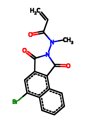 C=CC(=O)N(C)N1C(=O)c2cc(Br)c3ccccc3c2C1=O